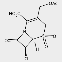 CC(=O)OCC1=C(C(=O)O)N2C(=O)[C@H](Cl)[C@@H]2S(=O)(=O)C1